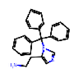 NCCc1cncn1C(c1ccccc1)(c1ccccc1)c1ccccc1